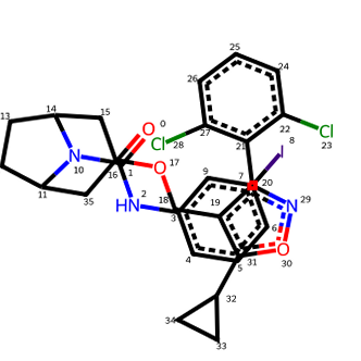 O=C(Nc1cccc(I)c1)N1C2CCC1CC(OCc1c(-c3c(Cl)cccc3Cl)noc1C1CC1)C2